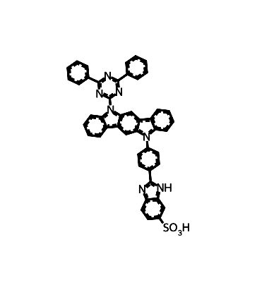 O=S(=O)(O)c1ccc2nc(-c3ccc(-n4c5ccccc5c5cc6c(cc54)c4ccccc4n6-c4nc(-c5ccccc5)nc(-c5ccccc5)n4)cc3)[nH]c2c1